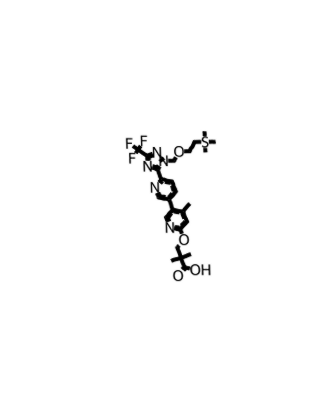 Cc1cc(OCC(C)(C)C(=O)O)ncc1-c1ccc(-c2nc(C(F)(F)F)nn2COCCS(C)(C)C)nc1